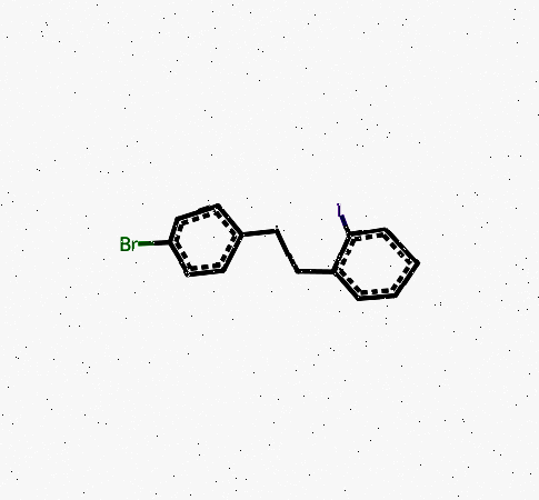 Brc1ccc([CH]Cc2ccccc2I)cc1